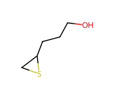 OCCCC1CS1